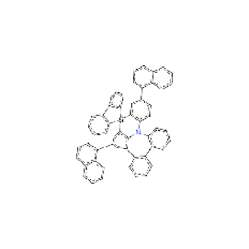 c1ccc2c(c1)-c1ccccc1N1c3ccc(-c4cccc5ccccc45)cc3[Si]3(c4ccccc4-c4ccccc43)c3cc(-c4cccc5ccccc45)cc-2c31